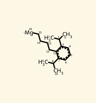 CC(C)c1cccc(C(C)C)c1CCC[CH2][Mg]